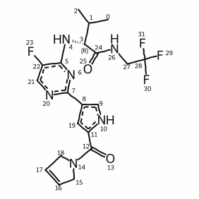 CC(C)[C@@H](Nc1nc(-c2c[nH]c(C(=O)N3CC=CC3)c2)ncc1F)C(=O)NCC(F)(F)F